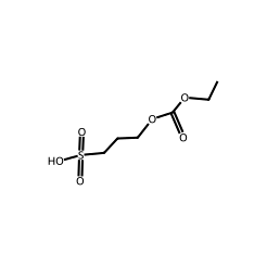 CCOC(=O)OCCCS(=O)(=O)O